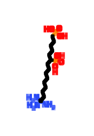 NC(N)(N)CCCCCCCCC(CCCCCP(=O)(O)O)P(=O)(O)O